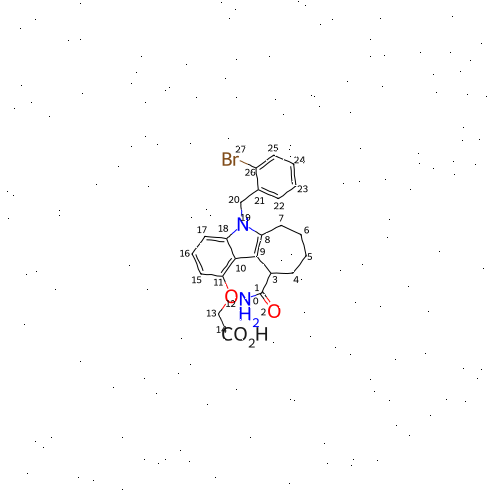 NC(=O)C1CCCCc2c1c1c(OCC(=O)O)cccc1n2Cc1ccccc1Br